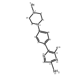 CC(C)N1CCN(c2ccc(-c3ncc(N)nc3F)cc2)CC1